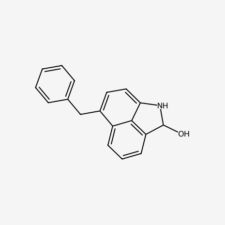 OC1Nc2ccc(Cc3ccccc3)c3cccc1c23